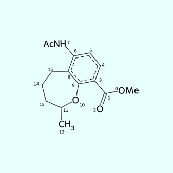 COC(=O)c1ccc(NC(C)=O)c2c1OC(C)CCC2